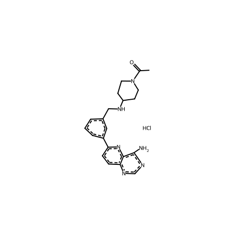 CC(=O)N1CCC(NCc2cccc(-c3ccc4ncnc(N)c4n3)c2)CC1.Cl